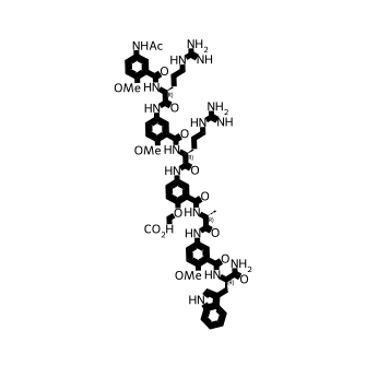 COc1ccc(NC(=O)[C@@H](C)NC(=O)c2cc(NC(=O)[C@@H](CCCNC(=N)N)NC(=O)c3cc(NC(=O)[C@@H](CCCNC(=N)N)NC(=O)c4cc(NC(C)=O)ccc4OC)ccc3OC)ccc2OCC(=O)O)cc1C(=O)N[C@H](Cc1c[nH]c2ccccc12)C(N)=O